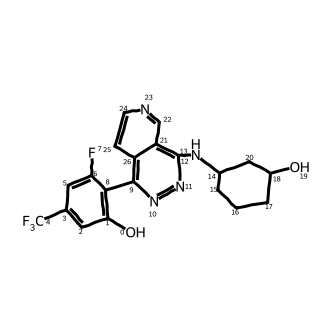 Oc1cc(C(F)(F)F)cc(F)c1-c1nnc(NC2CCCC(O)C2)c2cnccc12